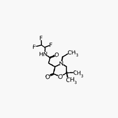 CCN1CC(C)(C)OC(=O)C1CC(=O)NC(F)C(F)F